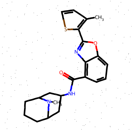 Cc1ccsc1-c1nc2c(C(=O)NC3CC4CCCC(C3)N4C)cccc2o1